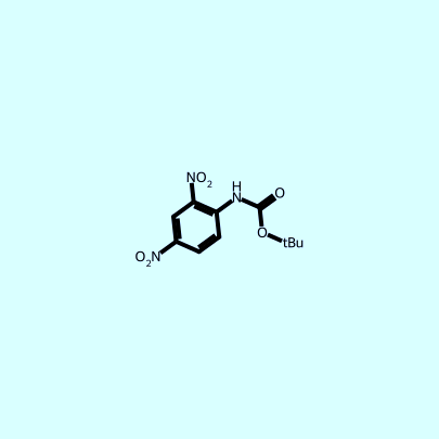 CC(C)(C)OC(=O)Nc1ccc([N+](=O)[O-])cc1[N+](=O)[O-]